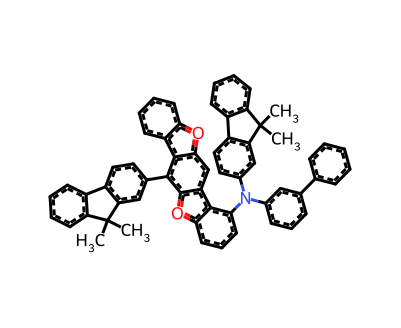 CC1(C)c2ccccc2-c2ccc(-c3c4oc5cccc(N(c6cccc(-c7ccccc7)c6)c6ccc7c(c6)C(C)(C)c6ccccc6-7)c5c4cc4oc5ccccc5c34)cc21